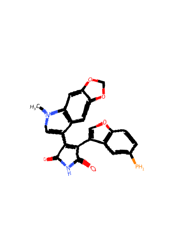 Cn1cc(C2=C(c3coc4ccc(P)cc34)C(=O)NC2=O)c2cc3c(cc21)OCO3